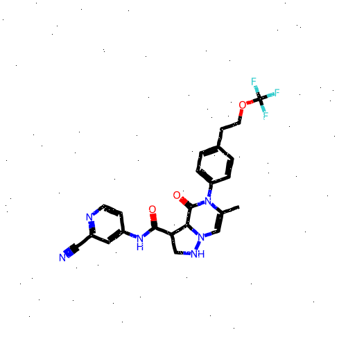 CC1=CN2NCC(C(=O)Nc3ccnc(C#N)c3)C2C(=O)N1c1ccc(CCOC(F)(F)F)cc1